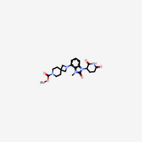 Cn1c(=O)n(C2CCC(=O)NC2=O)c2cccc(N3CC4(CCN(C(=O)OC(C)(C)C)CC4)C3)c21